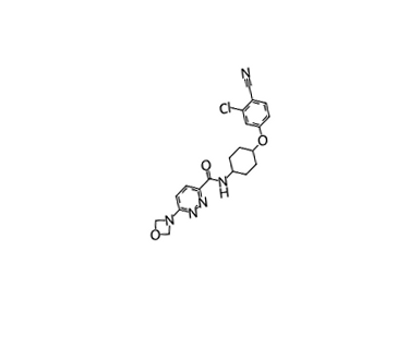 N#Cc1ccc(OC2CCC(NC(=O)c3ccc(N4COC4)nn3)CC2)cc1Cl